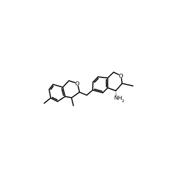 Cc1ccc2c(c1)C(C)C(Cc1ccc3c(c1)[C@@H](N)C(C)OC3)OC2